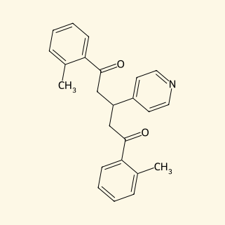 Cc1ccccc1C(=O)CC(CC(=O)c1ccccc1C)c1ccncc1